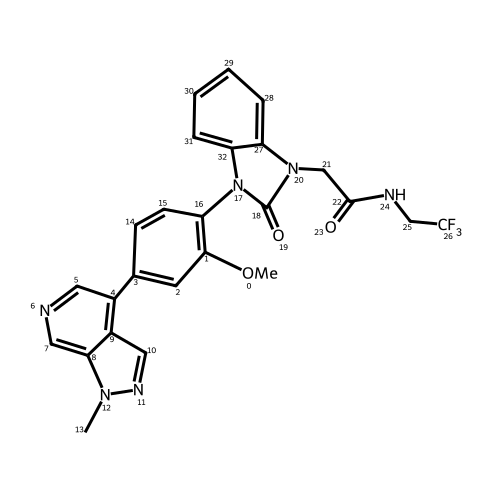 COc1cc(-c2cncc3c2cnn3C)ccc1-n1c(=O)n(CC(=O)NCC(F)(F)F)c2ccccc21